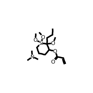 C=CC(=O)OC1CCC[Si](OC)(OC)C1(CCC)OC.CN(C)C